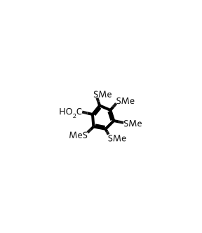 CSc1c(SC)c(SC)c(C(=O)O)c(SC)c1SC